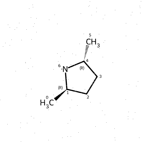 C[C@@H]1CC[C@@H](C)[N]1